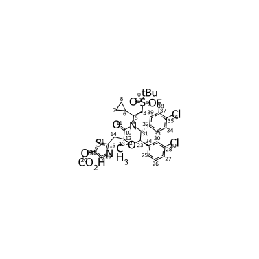 CC(C)(C)S(=O)(=O)C[C@H](C1CC1)N1C(=O)[C@](C)(Cc2ncc(OC(=O)O)s2)O[C@H](c2cccc(Cl)c2)[C@H]1c1ccc(Cl)c(F)c1